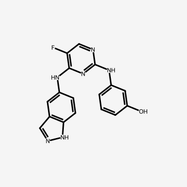 Oc1cccc(Nc2ncc(F)c(Nc3ccc4[nH]ncc4c3)n2)c1